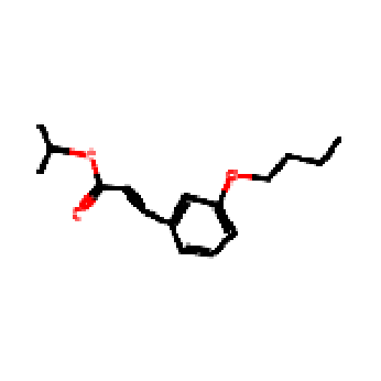 CCCCOc1cccc(C=CC(=O)OC(C)C)c1